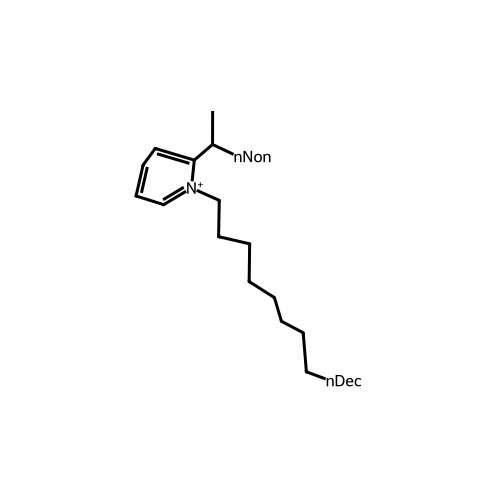 CCCCCCCCCCCCCCCCCC[n+]1ccccc1C(C)CCCCCCCCC